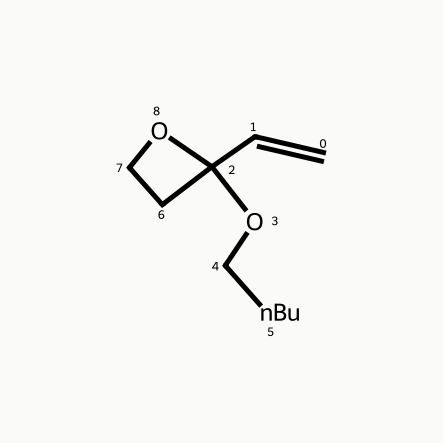 C=CC1(OCCCCC)CCO1